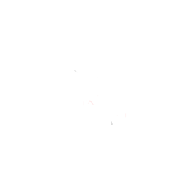 CC1=C(C)C2=C(C)C3[C@@H](C)c4c(C)c(C)c(C)c5c4[C@]46O[C@]34C3C2C(=C1C)C1=C(C)C(C)=C(C)C2C1[C@]3(O)c1c(c(C)c3c(C)c(C)c(C)c-5c3c16)[C@]2(C)O